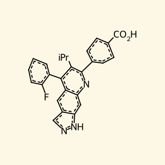 CC(C)c1c(-c2ccc(C(=O)O)cc2)nc2cc3[nH]ncc3cc2c1-c1ccccc1F